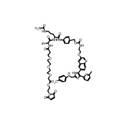 Cc1cccc(-c2nc(CNc3ccc(C(=O)O)cc3)[nH]c2-c2ccc3ncc(OCCNC(=O)OCc4ccc(NC(=O)C(CCCNC(N)=O)NC(=O)C(NC(=O)CCOCCOCCOCCOCCN5C(=O)C=CC5=O)C(C)C)cc4)cc3c2)n1